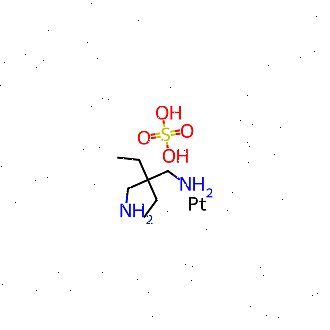 CCC(CC)(CN)CN.O=S(=O)(O)O.[Pt]